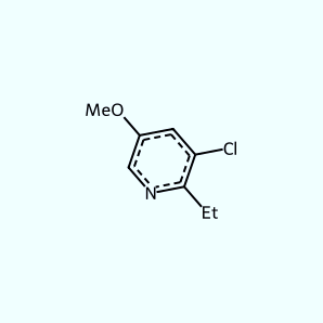 CCc1ncc(OC)cc1Cl